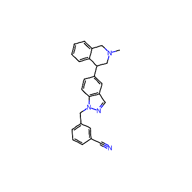 CN1Cc2ccccc2C(c2ccc3c(cnn3Cc3cccc(C#N)c3)c2)C1